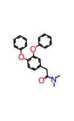 CN(C)C(=O)Cc1ccc(Oc2ccccc2)c(Oc2ccccc2)c1